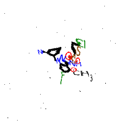 COc1cc(F)cc2c1c(NS(=O)(=O)c1ccc(Cl)s1)nn2Cc1cccc(C#N)c1